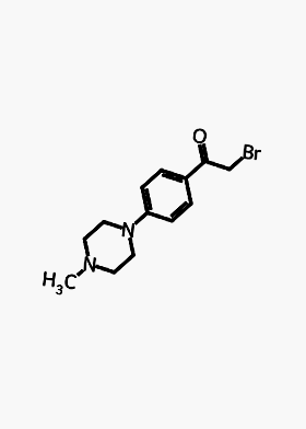 CN1CCN(c2ccc(C(=O)CBr)cc2)CC1